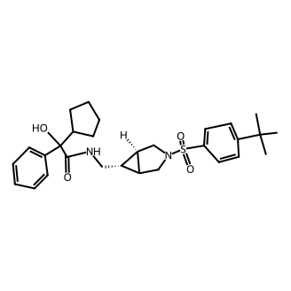 CC(C)(C)c1ccc(S(=O)(=O)N2CC3[C@H](CNC(=O)C(O)(c4ccccc4)C4CCCC4)[C@H]3C2)cc1